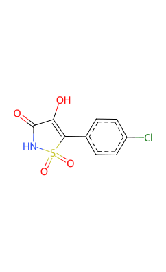 O=C1NS(=O)(=O)C(c2ccc(Cl)cc2)=C1O